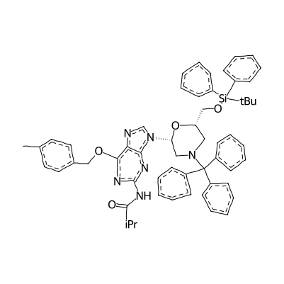 Cc1ccc(COc2nc(NC(=O)C(C)C)nc3c2ncn3[C@H]2CN(C(c3ccccc3)(c3ccccc3)c3ccccc3)C[C@@H](CO[Si](c3ccccc3)(c3ccccc3)C(C)(C)C)O2)cc1